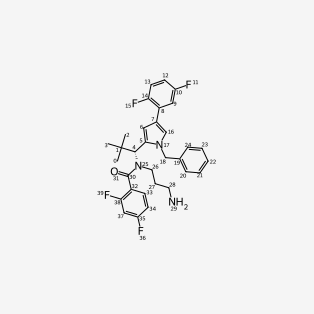 CC(C)(C)[C@H](c1cc(-c2cc(F)ccc2F)cn1Cc1ccccc1)N(CCCN)C(=O)c1ccc(F)cc1F